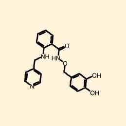 O=C(NOCc1ccc(O)c(O)c1)c1ccccc1NCc1ccncc1